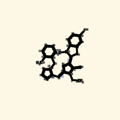 CCn1c(=O)/c(=C2\Sc3cc(F)ccc3N2C)s/c1=C\c1scc[n+]1Cc1ccccc1C